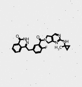 CC1(Nc2ncc3c(n2)CN(C(=O)c2cc(Cc4n[nH]c(=O)c5ccccc45)ccc2F)C3)CC1